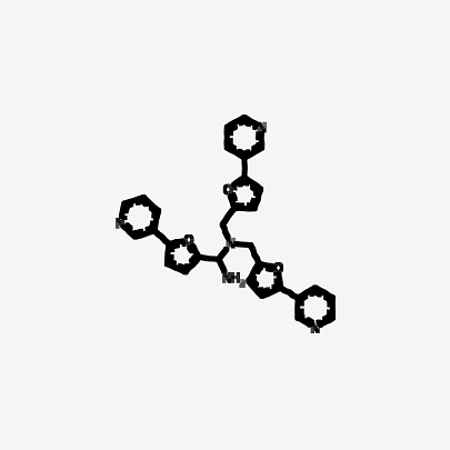 NC(c1ccc(-c2cccnc2)o1)N(Cc1ccc(-c2cccnc2)o1)Cc1ccc(-c2cccnc2)o1